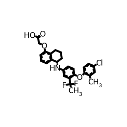 Cc1cc(Cl)ccc1Oc1ccc(N[C@@H]2CCCc3c(OCC(=O)O)cccc32)cc1C(C)(F)F